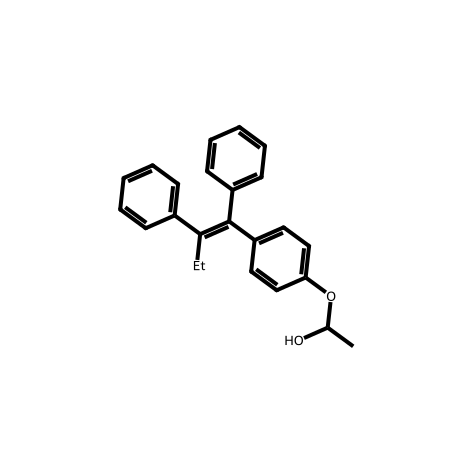 CCC(=C(c1ccccc1)c1ccc(OC(C)O)cc1)c1ccccc1